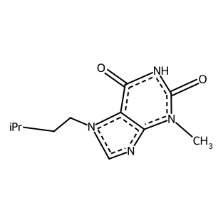 CC(C)CCn1cnc2c1c(=O)[nH]c(=O)n2C